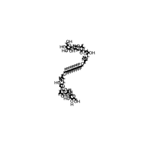 Cc1cn([C@H]2CC(O)[C@@H](Cn3cc(COCC(F)(F)C(F)(F)C(F)(F)C(F)(F)C(F)(F)C(F)(F)C(F)(F)C(F)(F)COCc4cn(C[C@H]5O[C@@H](n6cc(C)c(=O)n(Cc7cnnn7C7(O)COC(CO)C(O)C7O)c6=O)CC5O)nn4)nn3)O2)c(=O)n(Cc2cn(C3OC(CO)C(O)C(O)C3O)nn2)c1=O